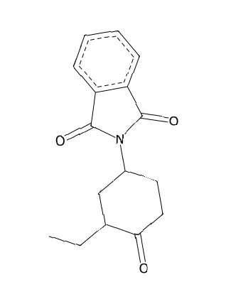 CCC1CC(N2C(=O)c3ccccc3C2=O)CCC1=O